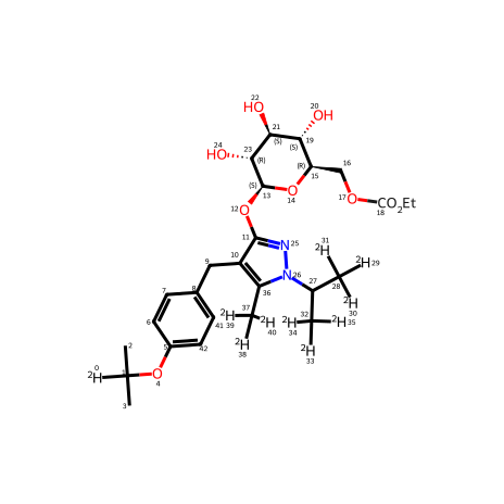 [2H]C(C)(C)Oc1ccc(Cc2c(O[C@@H]3O[C@H](COC(=O)OCC)[C@@H](O)[C@H](O)[C@H]3O)nn(C(C([2H])([2H])[2H])C([2H])([2H])[2H])c2C([2H])([2H])[2H])cc1